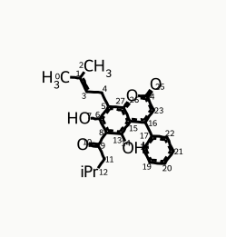 CC(C)=CCc1c(O)c(C(=O)CC(C)C)c(O)c2c(-c3ccccc3)cc(=O)oc12